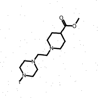 COC(=O)C1CCN(CCN2CCN(I)CC2)CC1